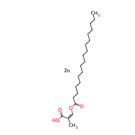 CCCCCCCCCCCCCCCCCC(=O)OC=C(C)C(=O)O.[Zn]